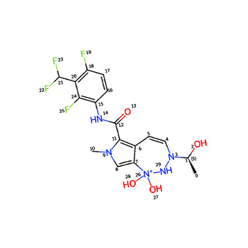 C[C@H](O)N1C=Cc2c(cn(C)c2C(=O)Nc2ccc(F)c(C(F)F)c2F)[N+](O)(O)N1